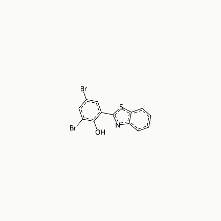 Oc1c(Br)cc(Br)cc1-c1nc2ccccc2s1